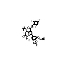 CC(C)(C)C[C@H](OC(N)=O)c1sc(-c2ccc(OC(F)F)c(OCC3CC3)c2)nc1C(=O)NCc1ccc(F)cc1F